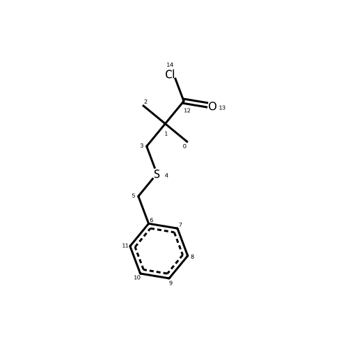 CC(C)(CSCc1ccccc1)C(=O)Cl